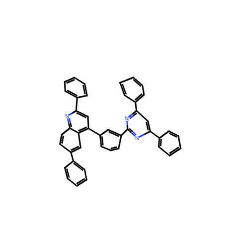 c1ccc(-c2ccc3nc(-c4ccccc4)cc(-c4cccc(-c5nc(-c6ccccc6)cc(-c6ccccc6)n5)c4)c3c2)cc1